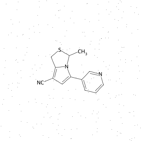 CC1SCc2c(C#N)cc(-c3cccnc3)n21